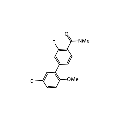 CNC(=O)c1ccc(-c2cc(Cl)ccc2OC)cc1F